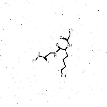 CCCCOC(=O)N[C@@H](CCCCN)C(=O)NCC(=O)NCC